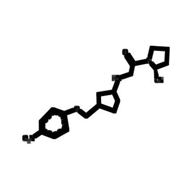 N#C[C@@H]1CCCN1C(=O)CNC1CCC(COc2ccc([N+](=O)[O-])cc2)C1